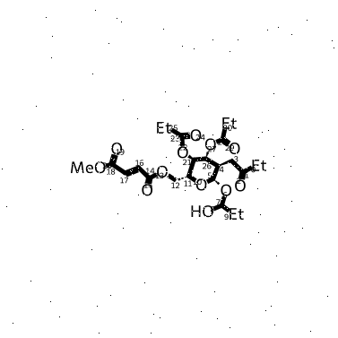 CCC(=O)C[C@H]1[C@H](OC(O)CC)O[C@H](COC(=O)/C=C/C(=O)OC)[C@@H](OC(=O)CC)[C@@H]1OC(=O)CC